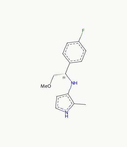 COC[C@@H](Nc1cc[nH]c1C)c1ccc(F)cc1